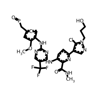 CNC(=O)c1nc(-c2cnn(CCCO)c2Cl)ccc1Nc1nc(Nc2ccc(CP=O)cc2OC)ncc1C(F)(F)F